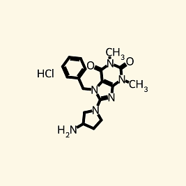 Cl.Cn1c(=O)c2c(nc(N3CCC(N)C3)n2Cc2ccccc2)n(C)c1=O